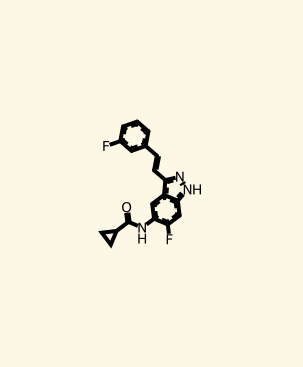 O=C(Nc1cc2c(/C=C/c3cccc(F)c3)n[nH]c2cc1F)C1CC1